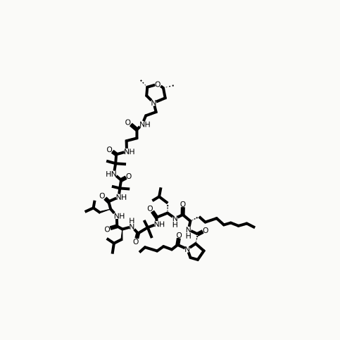 CCCCCCCC[C@H](NC(=O)[C@@H]1CCCN1C(=O)CCCCC)C(=O)N[C@@H](CC(C)C)C(=O)NC(C)(C)C(=O)N[C@@H](CC(C)C)C(=O)N[C@@H](CC(C)C)C(=O)NC(C)(C)C(=O)NC(C)(C)C(=O)NCCC(=O)NCCN1C[C@@H](C)O[C@@H](C)C1